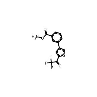 NOC(=O)c1cccc(-c2csc(C(=O)C(F)(F)F)c2)c1